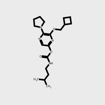 CC(C)CCNC(=O)Oc1cnc(N2CCCC2)c(OCC2CCC2)n1